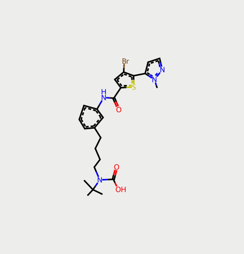 Cn1nccc1-c1sc(C(=O)Nc2cccc(CCCCN(C(=O)O)C(C)(C)C)c2)cc1Br